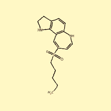 CCCCCS(=O)(=O)C1=Cc2c(ccc3c2NCC3)NC=C1